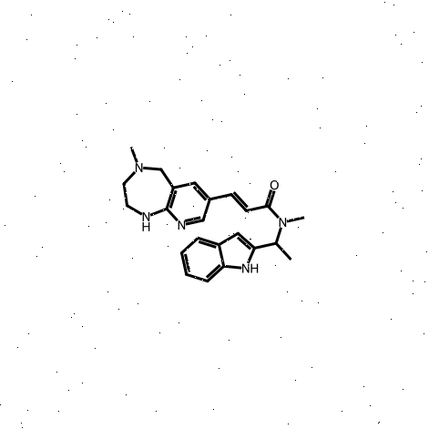 CC(c1cc2ccccc2[nH]1)N(C)C(=O)C=Cc1cnc2c(c1)CN(C)CCN2